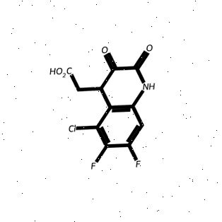 O=C(O)CC1C(=O)C(=O)Nc2cc(F)c(F)c(Cl)c21